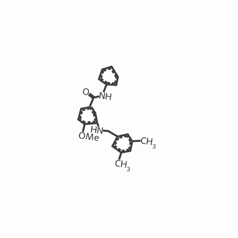 COc1ccc(C(=O)Nc2ccccc2)cc1NCc1cc(C)cc(C)c1